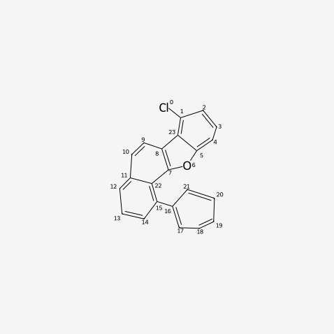 Clc1cccc2oc3c(ccc4cccc(-c5ccccc5)c43)c12